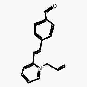 C=CC[n+]1ccccc1C=Cc1ccc(C=O)cc1